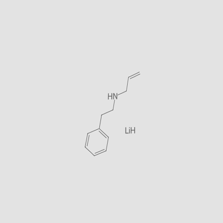 C=CCNCCc1ccccc1.[LiH]